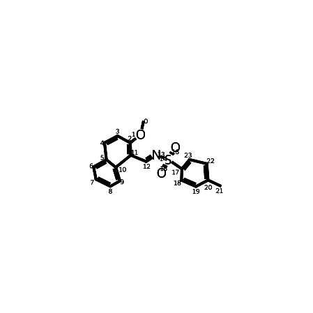 COc1ccc2ccccc2c1/C=N/S(=O)(=O)c1ccc(C)cc1